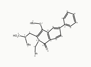 CCCCOc1c(CN(C(=O)O)C(C)(C)C)n(CC(C)C)c(=O)c2ccc(-c3ccccc3)cc12